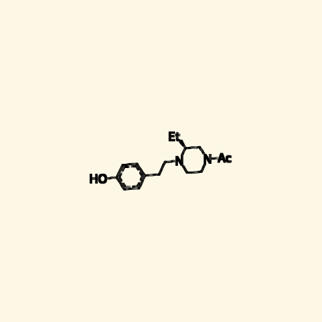 CC[C@H]1CN(C(C)=O)CCN1CCc1ccc(O)cc1